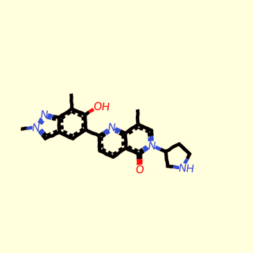 Cc1c(O)c(-c2ccc3c(=O)n(C4CCNC4)cc(C)c3n2)cc2cn(C)nc12